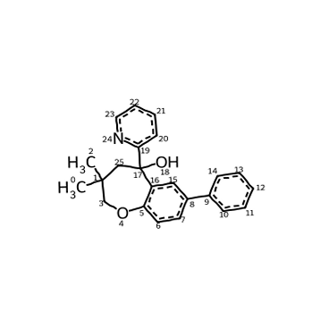 CC1(C)COc2ccc(-c3ccccc3)cc2C(O)(c2ccccn2)C1